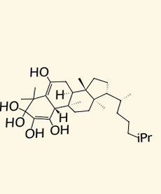 CC(C)CCC[C@@H](C)[C@H]1CC[C@@]2(C)[C@@H]3CC(O)=C4[C@@H](C(O)=C(O)C(O)(O)C4(C)C)[C@]3(C)CC[C@]12C